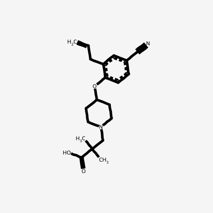 C=CCc1cc(C#N)ccc1OC1CCN(CC(C)(C)C(=O)O)CC1